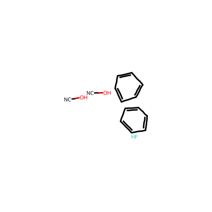 F.N#CO.N#CO.c1ccccc1.c1ccccc1